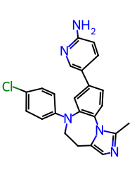 Cc1ncc2n1-c1ccc(-c3ccc(N)nc3)cc1N(c1ccc(Cl)cc1)CC2